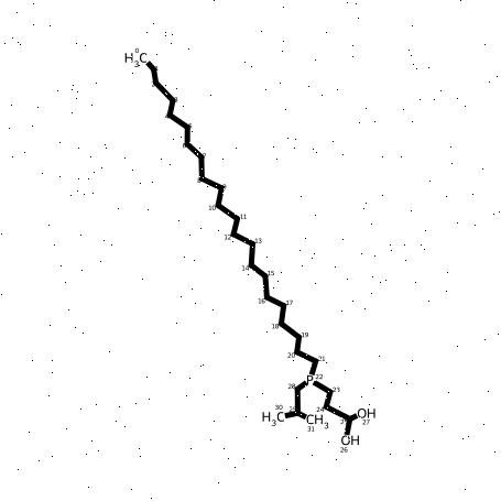 CCCCCCCCCCCCCCCCCCCCCCP(CCC(O)O)CC(C)C